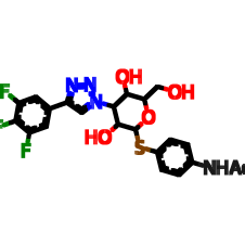 CC(=O)Nc1ccc(SC2OC(CO)C(O)C(n3cc(-c4cc(F)c(F)c(F)c4)nn3)C2O)cc1